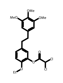 CCOc1ccc(CCc2cc(OC)c(OC)c(OC)c2)cc1OC(=O)C(Cl)Cl